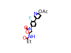 CCC(=O)NC1CN(c2ccc(-c3ccc(OC(C)=O)nc3)c(F)c2)C(=O)O1